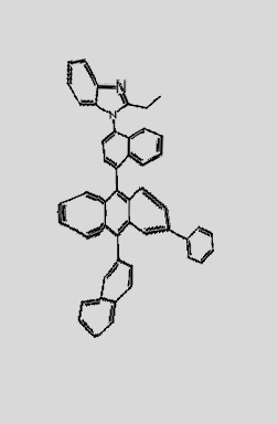 CCc1nc2ccccc2n1-c1ccc(-c2c3ccccc3c(-c3ccc4ccccc4c3)c3cc(-c4ccccc4)ccc23)c2ccccc12